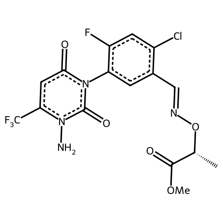 COC(=O)[C@@H](C)O/N=C/c1cc(-n2c(=O)cc(C(F)(F)F)n(N)c2=O)c(F)cc1Cl